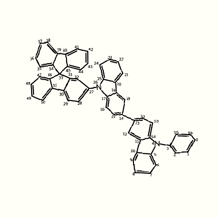 c1ccc(-n2c3ccccc3c3cc(-c4ccc5c(c4)c4ccccc4n5-c4ccc5c(c4)C4(c6ccccc6-c6ccccc64)c4ccccc4-5)ccc32)cc1